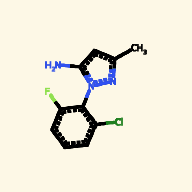 Cc1cc(N)n(-c2c(F)cccc2Cl)n1